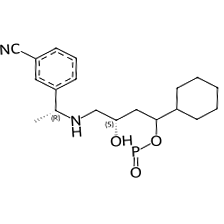 C[C@@H](NC[C@@H](O)CC(OP=O)C1CCCCC1)c1cccc(C#N)c1